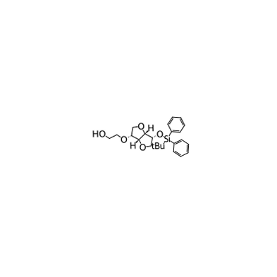 CC(C)(C)[Si](O[C@@H]1CO[C@H]2[C@@H]1OC[C@H]2OCCO)(c1ccccc1)c1ccccc1